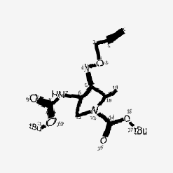 C#CCON=C1C(NC(=O)OC(C)(C)C)CN(C(=O)OC(C)(C)C)C1C